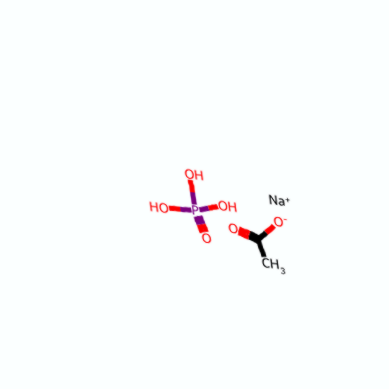 CC(=O)[O-].O=P(O)(O)O.[Na+]